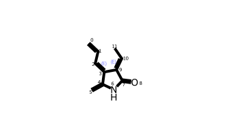 C=C/C=C1/C(=C)NC(=O)/C1=C/C